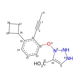 CC#Cc1c(ON2NNC=C2C(=O)O)cccc1C1CCC1